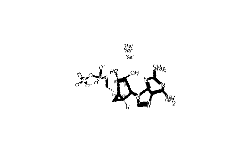 CSc1nc(N)c2ncn(C3[C@H]4C[C@@]4(COP(=O)([O-])OP(=O)([O-])[O-])[C@@H](O)[C@H]3O)c2n1.[Na+].[Na+].[Na+]